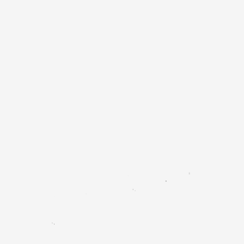 CC(C)(C)[Si](C)(C)OC(CCCCCCc1ccccc1)c1ncc(-c2cccc(C#N)c2)o1